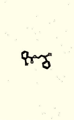 CCN(CCOC(=O)c1ccccc1Br)c1ccccc1